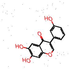 O=c1c(-c2cccc(O)c2)coc2cc(O)c(O)cc12